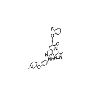 Cc1ncncc1Cn1c(=O)c(C#COc2ccccc2F)cc2cnc(Nc3ccc(OC4CCCN(C)C4)cc3)nc21